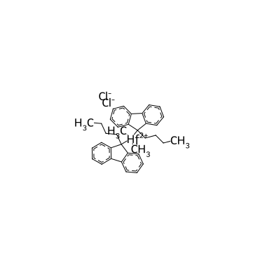 CCCC[C]1([Hf+2]([CH3])([CH3])[C]2(CCCC)c3ccccc3-c3ccccc32)c2ccccc2-c2ccccc21.[Cl-].[Cl-]